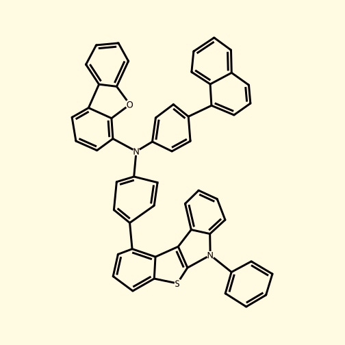 c1ccc(-n2c3ccccc3c3c4c(-c5ccc(N(c6ccc(-c7cccc8ccccc78)cc6)c6cccc7c6oc6ccccc67)cc5)cccc4sc32)cc1